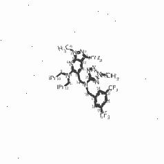 Cc1nn(C)c2nc(N(CC(C)C)CC(C)C)c(CN(Cc3cc(C(F)(F)F)cc(C(F)(F)F)c3)c3nnn(C)n3)cc12